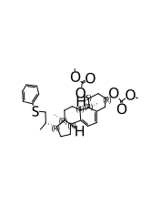 COC(=O)O[C@@H]1CC2=CC=C3[C@@H]4CC[C@H](C(C)CSc5ccccc5)[C@@]4(C)CC[C@@H]3[C@@]2(C)[C@@H](OC(=O)OC)C1